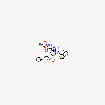 CCS(=O)(=O)NC(=O)c1cnn2c(Nc3cccc4cccnc34)cc(C(=O)N3CCC(c4ccccc4)CC3)nc12